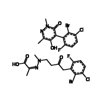 CC(=NN(C)CCC(=O)Cc1c(F)ccc(Cl)c1Br)C(=O)O.Cc1nn(C)c(=O)c(-c2c(F)ccc(Cl)c2Br)c1O